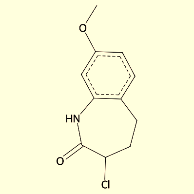 COc1ccc2c(c1)NC(=O)C(Cl)CC2